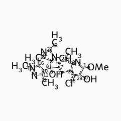 COc1nc2c(C)cc(C(O)(c3c(C)nn(C)c3C)c3cnc(C)n3C)cc2c(Cl)c1O